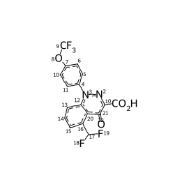 O=C(O)c1nn(-c2ccc(OC(F)(F)F)cc2)c2cccc(C(F)F)c2c1=O